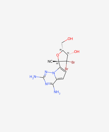 N#C[C@@]1(c2ccc3c(N)nc(N)nn23)O[C@H](CO)[C@H](O)C1(Br)Br